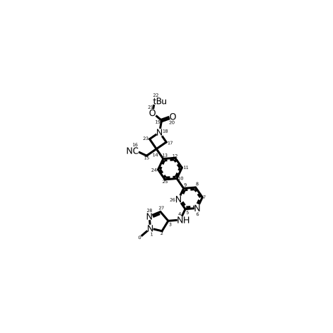 CN1CC(Nc2nccc(-c3ccc(C4(CC#N)CN(C(=O)OC(C)(C)C)C4)cc3)n2)C=N1